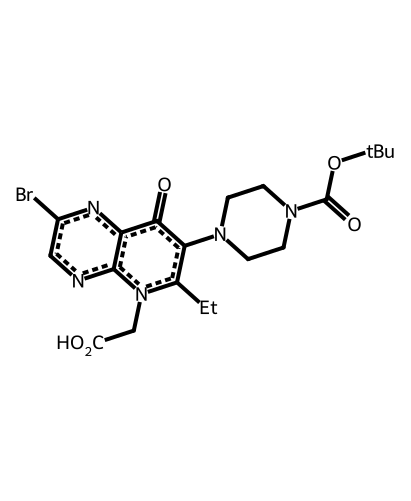 CCc1c(N2CCN(C(=O)OC(C)(C)C)CC2)c(=O)c2nc(Br)cnc2n1CC(=O)O